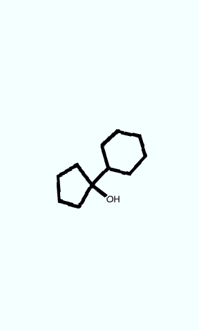 OC1([C]2CCCCC2)CCCC1